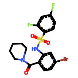 O=C(c1ccc(Br)cc1NS(=O)(=O)c1ccc(F)cc1F)N1CCCCC1